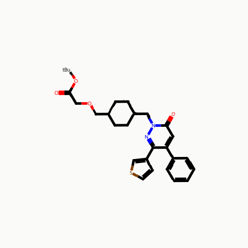 CC(C)(C)OC(=O)COCC1CCC(Cn2nc(-c3ccsc3)c(-c3ccccc3)cc2=O)CC1